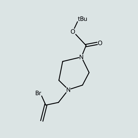 C=C(Br)CN1CCN(C(=O)OC(C)(C)C)CC1